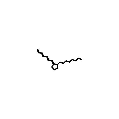 C=CC=CC=CC=C1CCC[C@@H]1CCCCCCCC